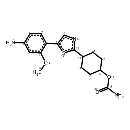 COc1cc(N)ccc1-c1cnc(C2CCC(OC(N)=O)CC2)s1